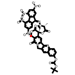 CC[C@@]1(OC(=O)[C@@H](C)ON=C2c3cc([N+](=O)[O-])cc([N+](=O)[O-])c3-c3c2cc([N+](=O)[O-])cc3[N+](=O)[O-])C(=O)OCc2c1cc1n(c2=O)Cc2cc3cc(OC(=O)OC(C)(C)C)ccc3nc2-1